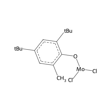 Cc1cc(C(C)(C)C)cc(C(C)(C)C)c1[O][Mo]([Cl])[Cl]